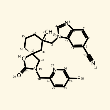 C[C@]1(Cn2cnc3ccc(C#N)cc32)CCC[C@@]2(CN(Cc3ccc(F)cn3)C(=O)O2)C1